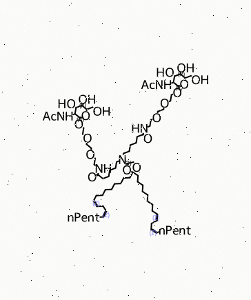 CCCCC/C=C\C/C=C\CCCCCCCCC1(CCCCCCCC/C=C\C/C=C\CCCCC)OC[C@H](N(CCCCCC(=O)NCCOCCOCCO[C@@H]2OC(CO)[C@H](O)C(O)C2NC(C)=O)CCCCCC(=O)NCCOCCOCCO[C@@H]2OC(CO)[C@H](O)C(O)C2NC(C)=O)O1